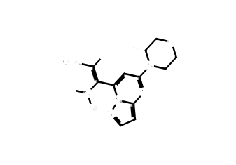 CN/C(C)=C(/c1cc(N2CCOC[C@H]2C)nc2ccnn12)N(C)N